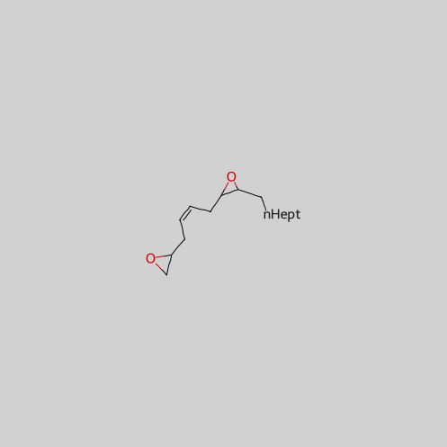 CCCCCCCCC1OC1C/C=C\CC1CO1